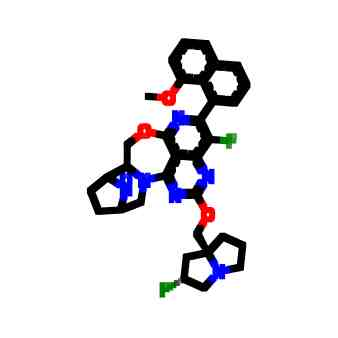 COc1cccc2cccc(-c3nc4c5c(nc(OC[C@@]67CCCN6C[C@H](F)C7)nc5c3F)N3CC5CCC(N5)C3CO4)c12